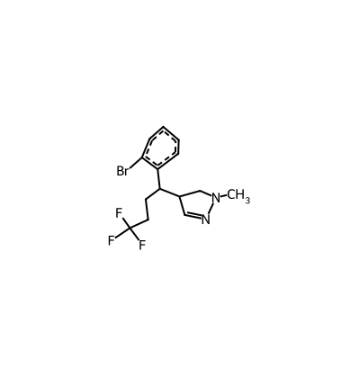 CN1CC(C(CCC(F)(F)F)c2ccccc2Br)C=N1